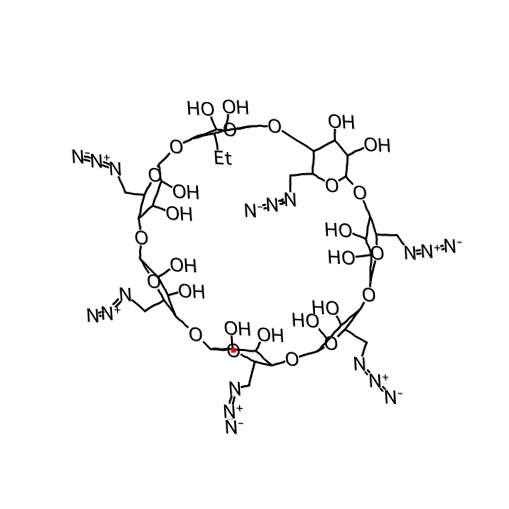 CCC1OC2OC3C(CN=[N+]=[N-])OC(OC4C(CN=[N+]=[N-])OC(OC5C(CN=[N+]=[N-])OC(OC6C(CN=[N+]=[N-])OC(OC7C(CN=[N+]=[N-])OC(OC8C(CN=[N+]=[N-])OC(OC1C(O)C2O)C(O)C8O)C(O)C7O)C(O)C6O)C(O)C5O)C(O)C4O)C(O)C3O